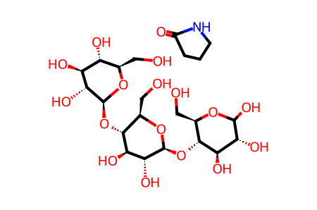 O=C1CCCN1.OC[C@H]1O[C@@H](O[C@H]2[C@H](O)[C@@H](O)[C@H](O[C@H]3[C@H](O)[C@@H](O)C(O)O[C@@H]3CO)O[C@@H]2CO)[C@H](O)[C@@H](O)[C@@H]1O